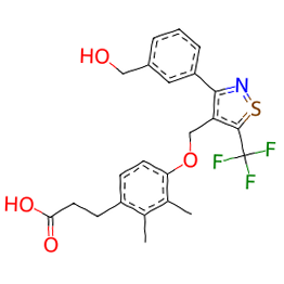 Cc1c(CCC(=O)O)ccc(OCc2c(-c3cccc(CO)c3)nsc2C(F)(F)F)c1C